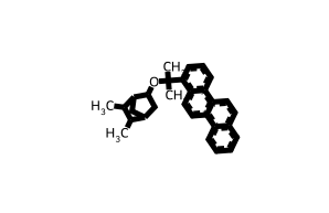 CC1C2CC(OC(C)(C)c3cccc4c3ccc3c5ccccc5ccc43)C(C2)C1C